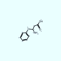 NC(CC(=O)O)Oc1ccccc1